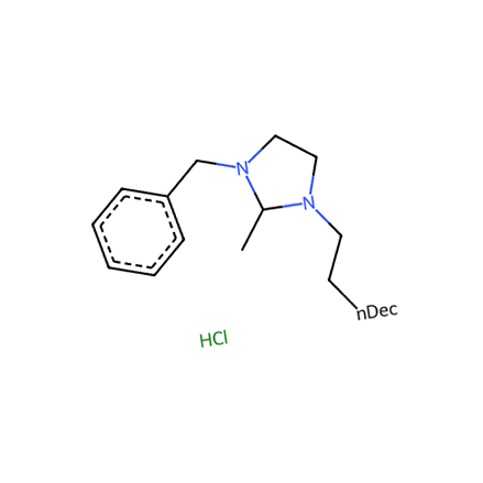 CCCCCCCCCCCCN1CCN(Cc2ccccc2)C1C.Cl